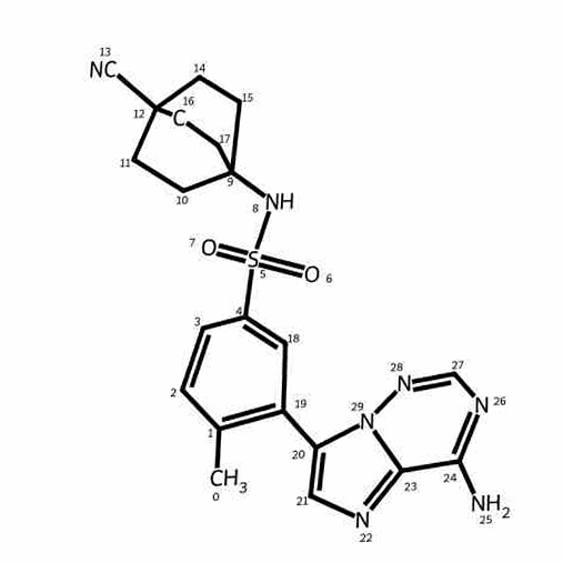 Cc1ccc(S(=O)(=O)NC23CCC(C#N)(CC2)CC3)cc1-c1cnc2c(N)ncnn12